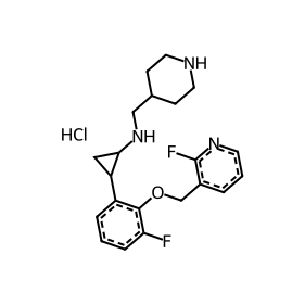 Cl.Fc1cccc(C2CC2NCC2CCNCC2)c1OCc1cccnc1F